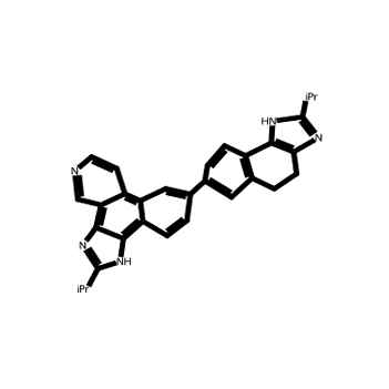 CC(C)c1nc2c([nH]1)-c1ccc(-c3ccc4c(c3)c3ccncc3c3nc(C(C)C)[nH]c43)cc1CC2